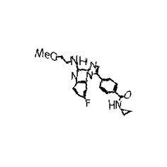 COCCNc1nc2ccc(F)cc2n2c(-c3ccc(C(=O)NC4CC4)cc3)cnc12